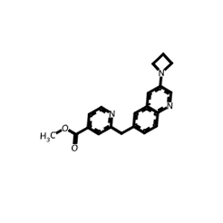 COC(=O)c1ccnc(Cc2ccc3ncc(N4CCC4)cc3c2)c1